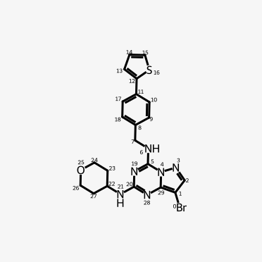 Brc1cnn2c(NCc3ccc(-c4cccs4)cc3)nc(NC3CCOCC3)nc12